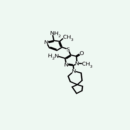 Cc1c(Sc2c(N)nc(N3CCC4(CCCC4)CC3)n(C)c2=O)ccnc1N